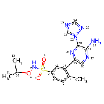 Cc1ccc(S(=O)(=O)NOC(C)C)cc1-c1cnc(N)c(-n2cncn2)n1